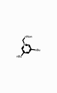 CCCCCCCCCC[n+]1cc(CCCC)cc(CCCC)c1